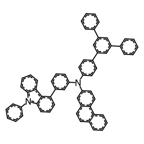 c1ccc(-c2cc(-c3ccccc3)cc(-c3ccc(N(c4cccc(-c5cccc6c5c5ccccc5n6-c5ccccc5)c4)c4ccc5c(ccc6ccccc65)c4)cc3)c2)cc1